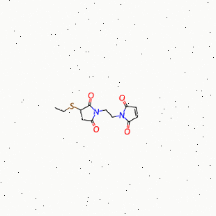 CCSC1CC(=O)N(CCN2C(=O)C=CC2=O)C1=O